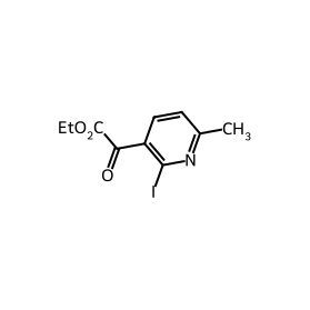 CCOC(=O)C(=O)c1ccc(C)nc1I